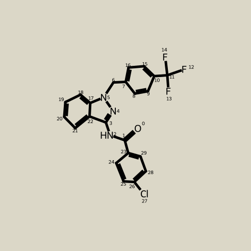 O=C(Nc1nn(Cc2ccc(C(F)(F)F)cc2)c2ccccc12)c1ccc(Cl)cc1